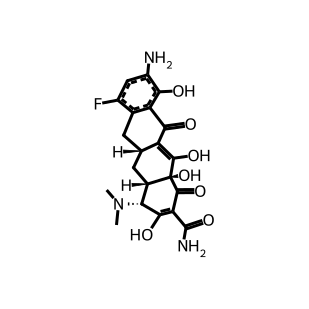 CN(C)[C@H]1C(O)=C(C(N)=O)C(=O)[C@@]2(O)C(O)=C3C(=O)c4c(O)c(N)cc(F)c4C[C@H]3C[C@@H]12